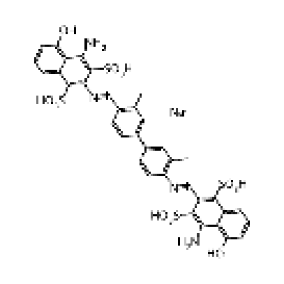 Cc1cc(-c2ccc(/N=N/c3c(S(=O)(=O)O)c(N)c4c(O)cccc4c3S(=O)(=O)O)c(C)c2)ccc1/N=N/c1c(S(=O)(=O)O)c(N)c2c(O)cccc2c1S(=O)(=O)O.[Na]